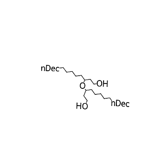 CCCCCCCCCCCCCCCC(CCO)OC(CCO)CCCCCCCCCCCCCCC